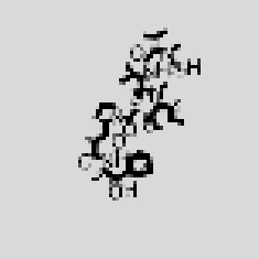 CC[C@H](C)[C@@H]([C@@H](CC(=O)N1CCC[C@H]1[C@H](OC)[C@@H](C)C(=O)N[C@H](C)[C@@H](O)c1ccccc1)OC)N(C)C(=O)[C@@H](NC(=O)[C@H](C(C)C)N(C)SS)C(C)C